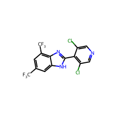 FC(F)(F)c1cc(C(F)(F)F)c2nc(-c3c(Cl)cncc3Cl)[nH]c2c1